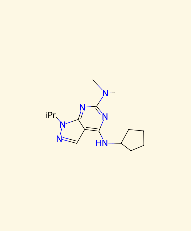 CC(C)n1ncc2c(NC3CCCC3)nc(N(C)C)nc21